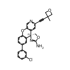 CC1(C#Cc2cc3c(cn2)Oc2ccc(-c4cccc(Cl)c4)cc2[C@@]32COC(N)=N2)COC1